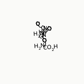 N/C(=N\C(=O)c1ccc(C[C@H](N)C(=O)O)cc1)NCc1ccccc1N1CCC(Cc2ccccc2)CC1